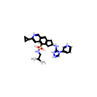 CC(C)CNS(=O)(=O)c1c2c(cc3cnc(C4CC4)cc13)C[C@@H](Nc1nncn1-c1cccnc1)C2